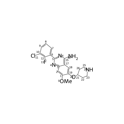 COc1cc2nc(-c3cccc(Cl)c3F)nc(N)c2cc1OC1CCNCC1